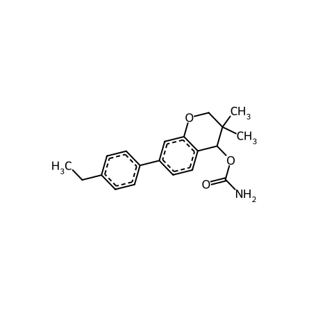 CCc1ccc(-c2ccc3c(c2)OCC(C)(C)C3OC(N)=O)cc1